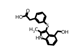 Cc1[nH]c2cccc(CO)c2c1Sc1cccc(CC(=O)O)c1